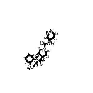 COc1ccccc1S(=O)(=O)C(C)(F)C1CCN(C(=O)Nc2ccnnc2)CC1